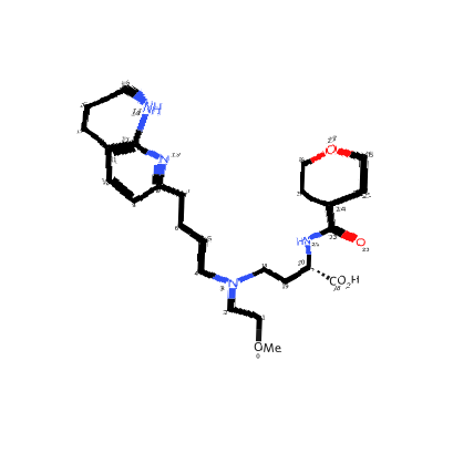 COCCN(CCCCc1ccc2c(n1)NCCC2)CC[C@H](NC(=O)C1CCOCC1)C(=O)O